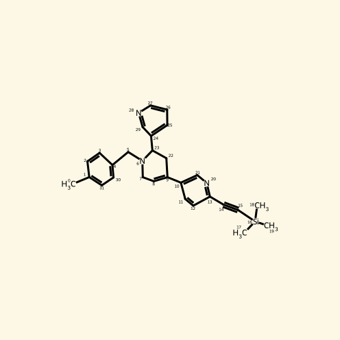 Cc1ccc(CN2CC=C(c3ccc(C#C[Si](C)(C)C)nc3)CC2c2cccnc2)cc1